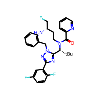 CC(C)(C)[C@H](c1nc(-c2cc(F)ccc2F)nn1Cc1ccccc1)N(CC[C@H](N)CF)C(=O)c1ccccn1